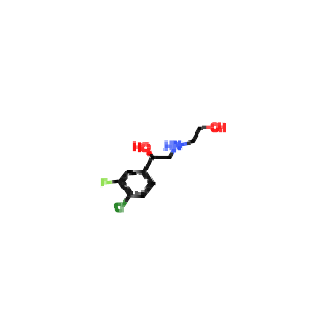 OCCNC[C@H](O)c1ccc(Cl)c(F)c1